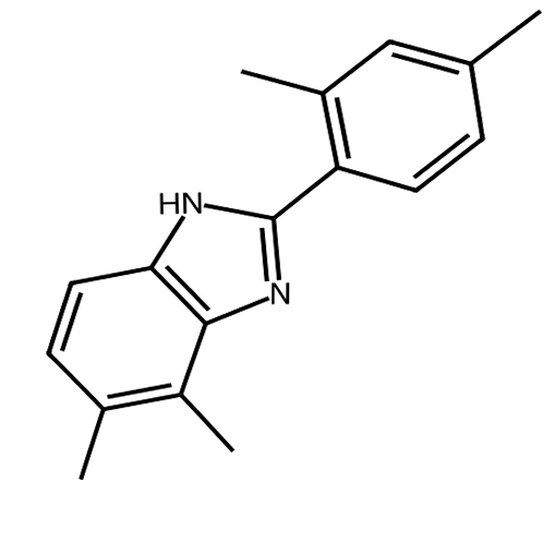 Cc1ccc(-c2nc3c(C)c(C)ccc3[nH]2)c(C)c1